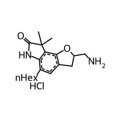 CCCCCCc1cc2c(c3c1NC(=O)C3(C)C)OC(CN)C2.Cl